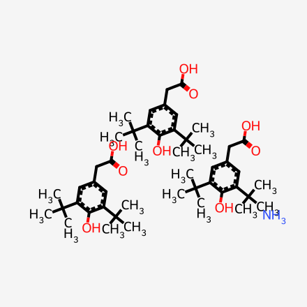 CC(C)(C)c1cc(CC(=O)O)cc(C(C)(C)C)c1O.CC(C)(C)c1cc(CC(=O)O)cc(C(C)(C)C)c1O.CC(C)(C)c1cc(CC(=O)O)cc(C(C)(C)C)c1O.N